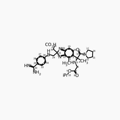 Cc1c(C(C)(NCC(=O)OC(C)C)C(=O)N2CCCC2)ccc2c1=NC(CNc1ccc(C(=N)N)cc1)(CC(=O)O)N=2